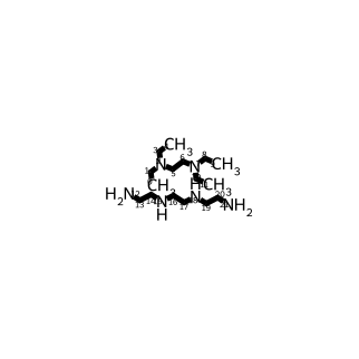 CCN(CC)CCN(CC)CC.NCCNCCNCCN